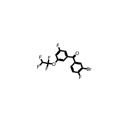 O=C(c1cc(F)cc(OC(F)(F)C(F)F)c1)c1ccc(F)c(Br)c1